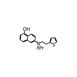 CCCN(CCc1cccs1)c1ccc2c(O)cccc2c1